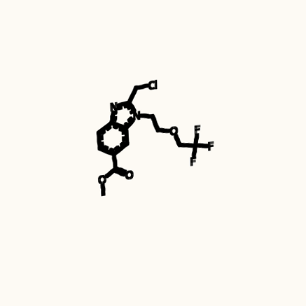 COC(=O)c1ccc2nc(CCl)n(CCOCC(F)(F)F)c2c1